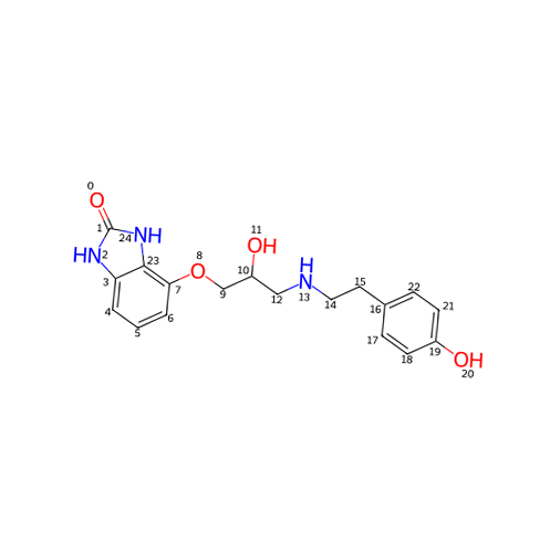 O=c1[nH]c2cccc(OCC(O)CNCCc3ccc(O)cc3)c2[nH]1